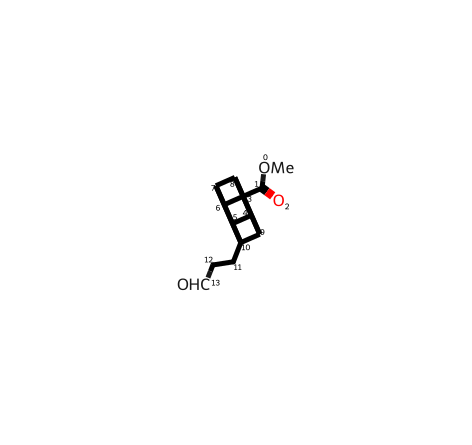 COC(=O)C12C3C4C1C1C2C3C41CCC=O